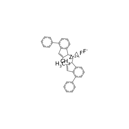 CC1=Cc2c(-c3ccccc3)cccc2[CH]1[Zr+2]1([CH]2C(C)=Cc3c(-c4ccccc4)cccc32)[CH2][CH2]1.[F-].[F-]